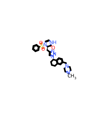 CN1CCN(Cc2ccc3c(c2)CCC[C@@H]3n2cc(C[C@@H]3C(=O)NC=CN3S(=O)(=O)c3ccccc3)nn2)CC1